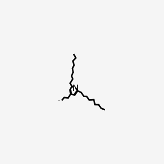 [CH2]CCc1cc(CCCCCCCCC)nc(CCCCCCCCC)c1